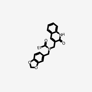 CCC(=O)N(Cc1ccc2c(c1)OCO2)Cc1cc2ccccc2[nH]c1=O